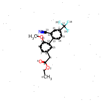 CCOC(=O)Cc1ccc(OC)c(-c2ccc(C(F)(F)F)cc2C#N)c1